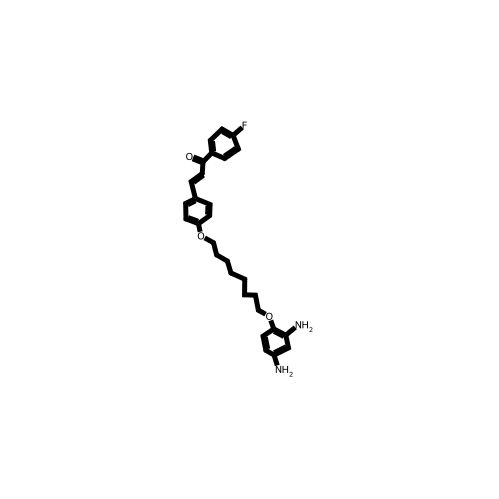 Nc1ccc(OCCCCCCCCOc2ccc(C=CC(=O)c3ccc(F)cc3)cc2)c(N)c1